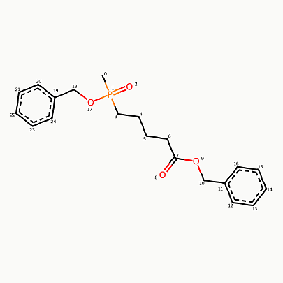 CP(=O)(CCCCC(=O)OCc1ccccc1)OCc1ccccc1